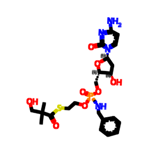 CC(C)(CO)C(=O)SCCOP(=O)(NCc1ccccc1)OC[C@@H]1O[C@H](n2ccc(N)nc2=O)C[C@@H]1O